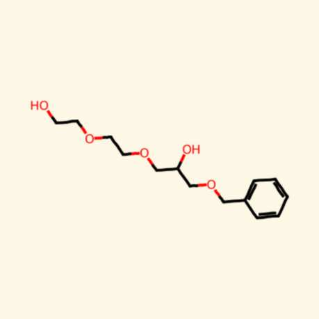 OCCOCCOCC(O)COCc1ccccc1